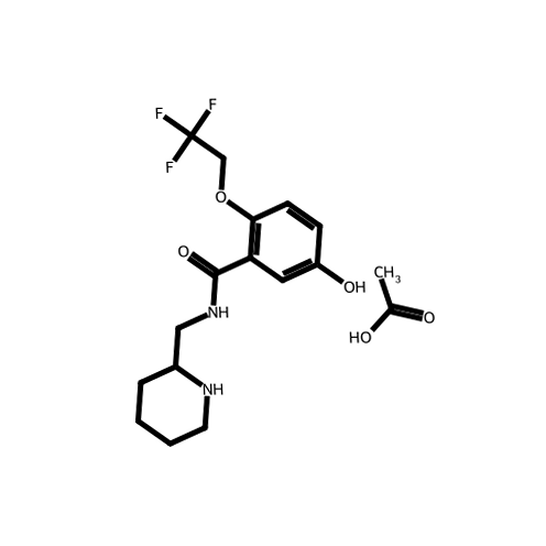 CC(=O)O.O=C(NCC1CCCCN1)c1cc(O)ccc1OCC(F)(F)F